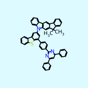 CC1(C)c2ccccc2-c2cc3c4ccccc4n(-c4cc(-c5ccc(-c6nc(-c7ccccc7)cc(-c7ccccc7)n6)cc5)c5sc6ccccc6c5c4)c3cc21